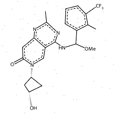 COC(Nc1nc(C)nc2cc(=O)n([C@H]3C[C@@H](O)C3)cc12)c1cccc(C(F)(F)F)c1C